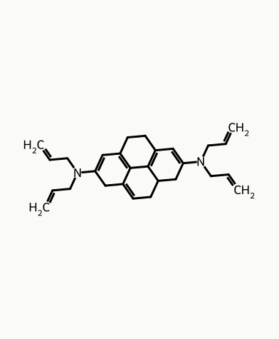 C=CCN(CC=C)C1=CC2=C3C(=CCC4CC(N(CC=C)CC=C)=CC(=C34)CC2)C1